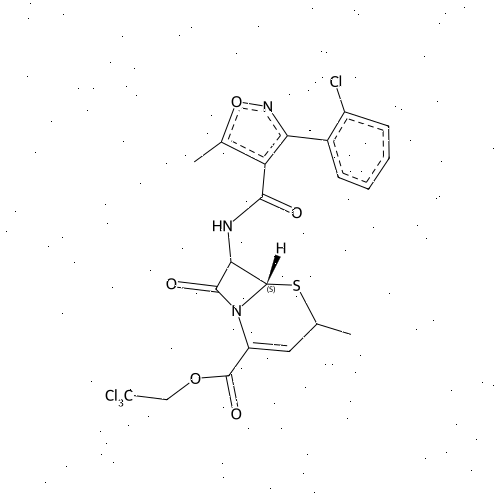 Cc1onc(-c2ccccc2Cl)c1C(=O)NC1C(=O)N2C(C(=O)OCC(Cl)(Cl)Cl)=CC(C)S[C@@H]12